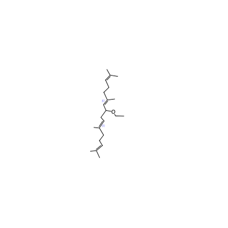 CCOC(/C=C(\C)CCC=C(C)C)C/C=C(\C)CCC=C(C)C